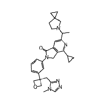 CC(c1cc2c(c(C3CC3)n1)CN(c1cccc(C3(Cc4nncn4C)COC3)c1)C2=O)N1CCC2(CC2)C1